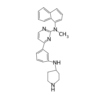 CN(c1nccc(-c2cccc(NC3CCNCC3)c2)n1)c1cccc2ccccc12